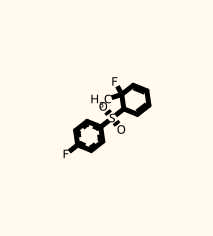 CC1(F)C=CC=CC1S(=O)(=O)c1ccc(F)cc1